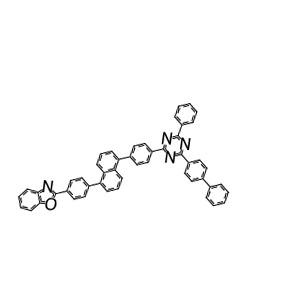 c1ccc(-c2ccc(-c3nc(-c4ccccc4)nc(-c4ccc(-c5cccc6c(-c7ccc(-c8nc9ccccc9o8)cc7)cccc56)cc4)n3)cc2)cc1